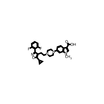 Cn1cc(C(=O)O)c2ccc(N3CCN(CCc4c(-c5c(F)cccc5F)noc4C4CC4)CC3)cc21